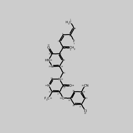 C=C(/C=C\C(F)=C/C)c1cc(Cn2cnc(C(F)(F)F)c(Oc3cc(Cl)cc(C#N)c3)c2=O)n[nH]c1=O